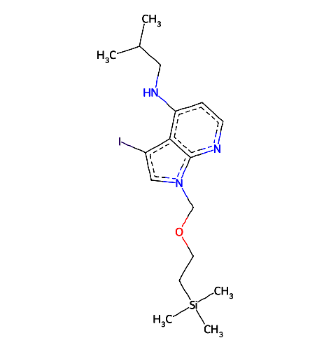 CC(C)CNc1ccnc2c1c(I)cn2COCC[Si](C)(C)C